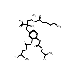 CCCCCC(=O)O[C@@H](C)CC(N)(Cc1ccc(OC(=O)OCC(C)C)c(OC(=O)OCC(C)C)c1)C(=O)O